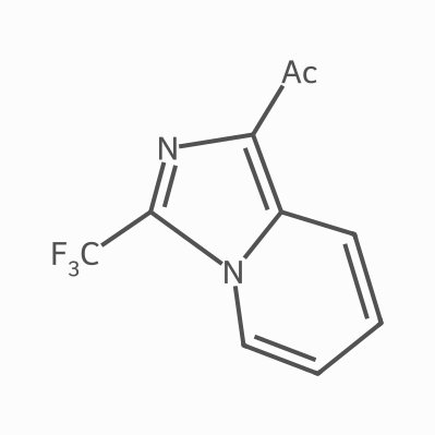 CC(=O)c1nc(C(F)(F)F)n2ccccc12